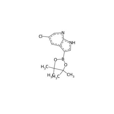 CC1(C)OB(c2c[nH]c3ncc(Cl)cc23)OC1(C)C